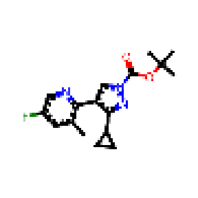 Cc1cc(F)cnc1-c1cn(C(=O)OC(C)(C)C)nc1C1CC1